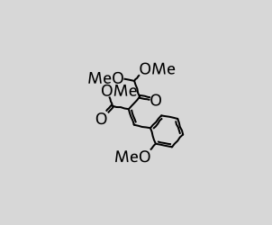 COC(=O)C(=Cc1ccccc1OC)C(=O)C(OC)OC